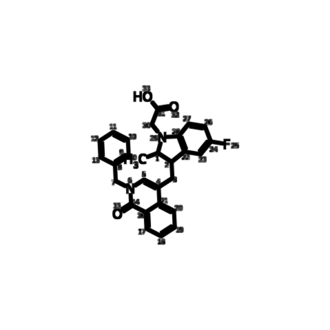 CC1C(Cc2cn(Cc3ccccc3)c(=O)c3ccccc23)c2cc(F)ccc2N1CC(=O)O